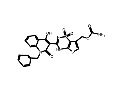 NC(=O)OCc1csc2c1S(=O)(=O)N=C(c1c(O)c3ccccc3n(Cc3ccccc3)c1=O)N2